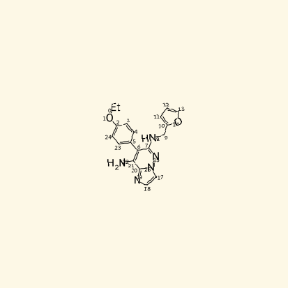 CCOc1ccc(-c2c(NCc3ccco3)nn3ccnc3c2N)cc1